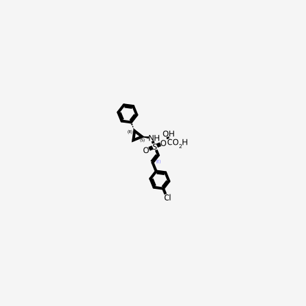 O=C(O)O.O=S(=O)(/C=C/c1ccc(Cl)cc1)N[C@H]1C[C@@H]1c1ccccc1